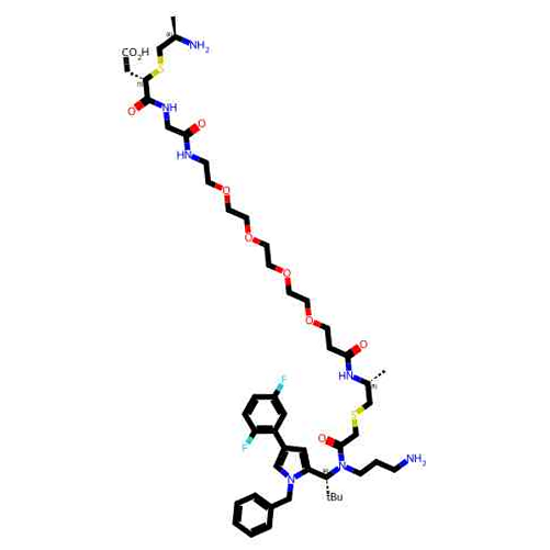 C[C@H](CSCC(=O)N(CCCN)[C@@H](c1cc(-c2cc(F)ccc2F)cn1Cc1ccccc1)C(C)(C)C)NC(=O)CCOCCOCCOCCOCCNC(=O)CNC(=O)[C@H](CC(=O)O)SC[C@@H](C)N